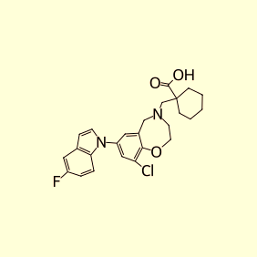 O=C(O)C1(CN2CCOc3c(Cl)cc(-n4ccc5cc(F)ccc54)cc3C2)CCCCC1